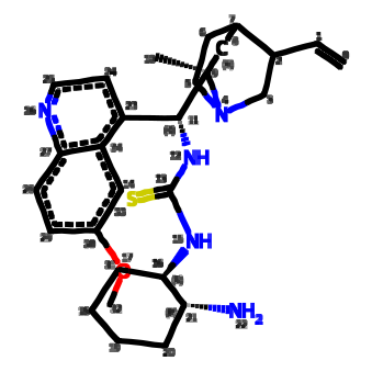 C=CC1CN2CCC1C[C@]2(C)[C@H](NC(=S)N[C@@H]1CCCC[C@H]1N)c1ccnc2ccc(OC)cc12